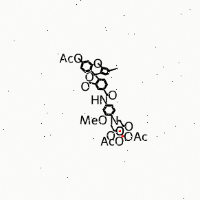 COc1cc(NC(=O)c2ccc3c(c2)C(=O)OC32c3ccc(C)cc3Oc3cc(OC(C)=O)ccc32)ccc1N(CC(=O)OCOC(C)=O)CC(=O)OCOC(C)=O